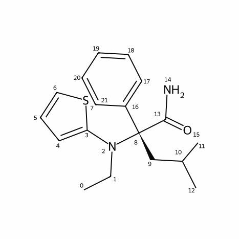 CCN(c1cccs1)[C@@](CC(C)C)(C(N)=O)c1ccccc1